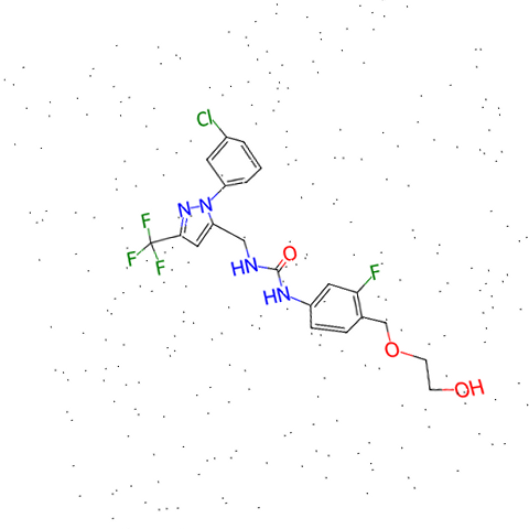 O=C(NCc1cc(C(F)(F)F)nn1-c1cccc(Cl)c1)Nc1ccc(COCCO)c(F)c1